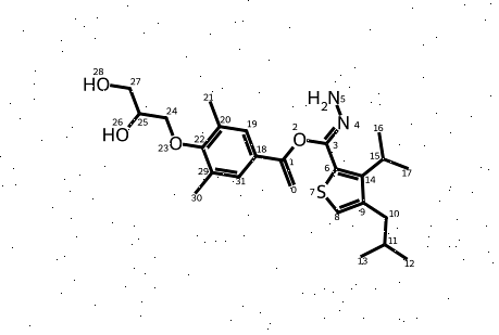 C=C(O/C(=N\N)c1scc(CC(C)C)c1C(C)C)c1cc(C)c(OCC(O)CO)c(C)c1